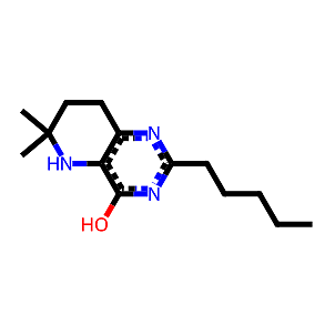 CCCCCc1nc(O)c2c(n1)CCC(C)(C)N2